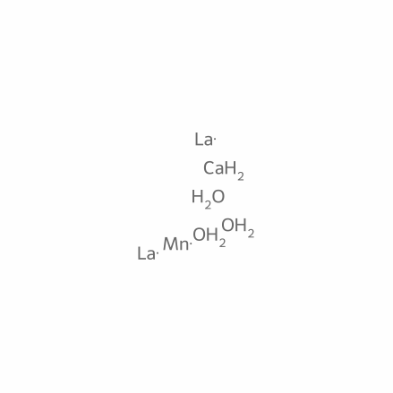 O.O.O.[CaH2].[La].[La].[Mn]